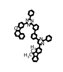 CC1(C)c2ccccc2-c2ccc(-c3cc(-c4cccc(-c5cccc(-c6nc(-c7ccccc7)nc(-c7ccc8oc9ccc%10ccccc%10c9c8c7)n6)c5)c4)nc(-c4ccccc4)n3)cc21